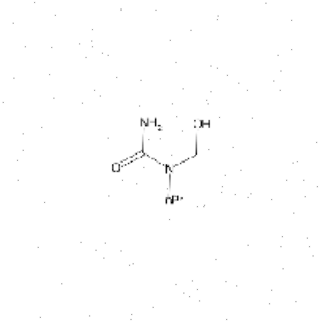 CCCN(CO)C(N)=O